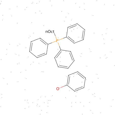 CCCCCCCC[P+](c1ccccc1)(c1ccccc1)c1ccccc1.[O-]c1ccccc1